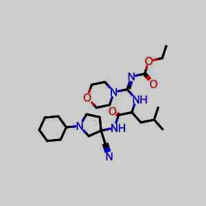 CCOC(=O)/N=C(\NC(CC(C)C)C(=O)NC1(C#N)CCN(C2CCCCC2)C1)N1CCOCC1